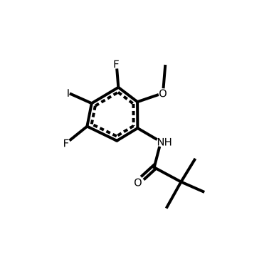 COc1c(NC(=O)C(C)(C)C)cc(F)c(I)c1F